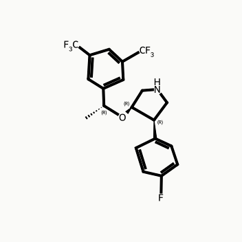 C[C@@H](O[C@H]1CNC[C@H]1c1ccc(F)cc1)c1cc(C(F)(F)F)cc(C(F)(F)F)c1